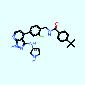 CC(C)(C)c1ccc(C(=O)NCc2ccc(-c3ccnc4[nH]nc(N[C@H]5CCNC5)c34)cc2F)cc1